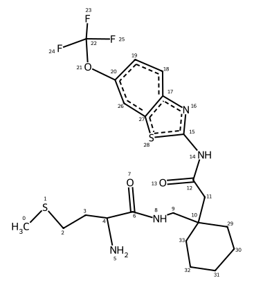 CSCCC(N)C(=O)NCC1(CC(=O)Nc2nc3ccc(OC(F)(F)F)cc3s2)CCCCC1